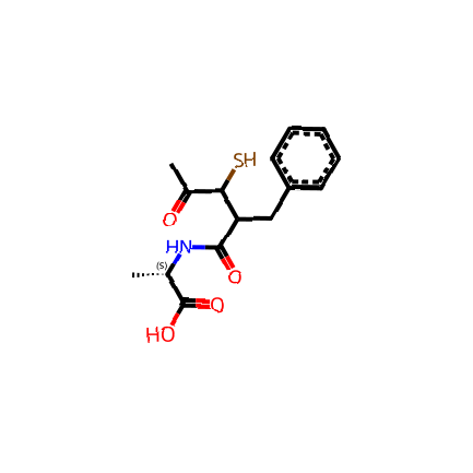 CC(=O)C(S)C(Cc1ccccc1)C(=O)N[C@@H](C)C(=O)O